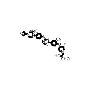 COc1cc(Nc2ncnc(-c3ccc(O[C@H]4CCN(CC(O)C=O)C[C@H]4F)c(C#N)c3)n2)ccc1N1CCN(C2COC2)CC1